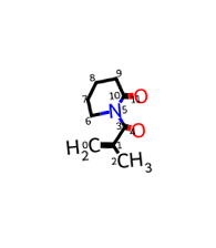 C=C(C)C(=O)N1CCCCC1=O